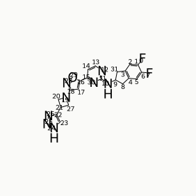 Fc1cc2c(cc1F)CC(Nc1nccc(-c3cc(N4CC(c5c[nH]nn5)C4)no3)n1)C2